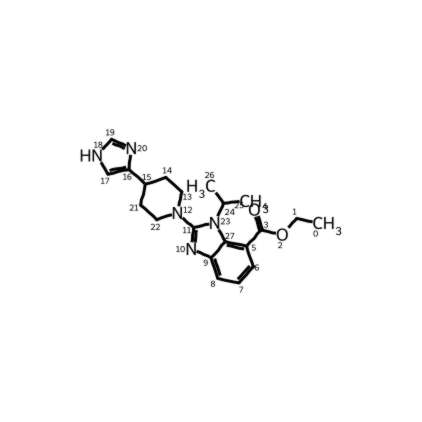 CCOC(=O)c1cccc2nc(N3CCC(c4c[nH]cn4)CC3)n(C(C)C)c12